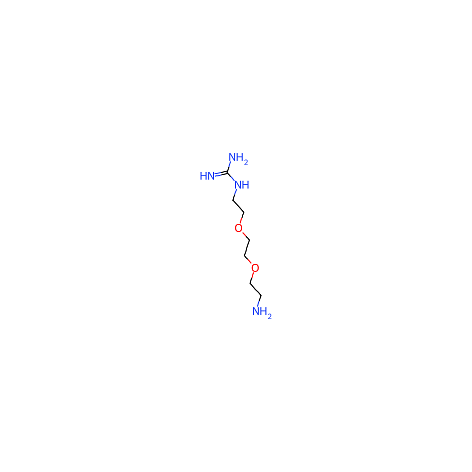 N=C(N)NCCOCCOCCN